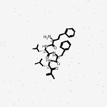 C=C(C)C(=O)[C@H](CC(C)C)NC(=O)[C@H](Cc1ccccc1)NC(=O)[C@H](CC(C)C)NC(=O)[C@@H](N)CCc1ccccc1